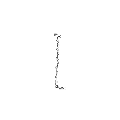 CCCCCCCCn1cc(COCCOCCOCCOCCOCCOCCOCCOCCOCCOCCC(=O)C(C)C)nn1